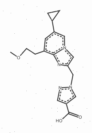 COCCc1cc(C2CC2)cn2cc(Cn3cc(C(=O)O)cn3)nc12